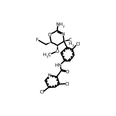 CO[C@H]1[C@@H](CF)OC(N)=N[C@]1(C)c1cc(NC(=O)c2ncc(Cl)cc2Cl)ccc1Cl